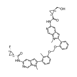 Cc1c(OCOc2ccccc2-c2cc3cc(NC(=O)[C@H]4C[C@H]4CO)ncc3n2C)cccc1-c1cc2cc(NC(=O)[C@@H]3C[C@@H]3F)ncc2n1C